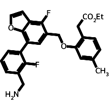 CCOC(=O)Cc1ccc(C)cc1OCc1cc(-c2cccc(CN)c2F)c2occc2c1F